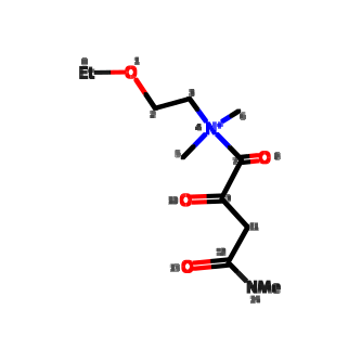 CCOCC[N+](C)(C)C(=O)C(=O)CC(=O)NC